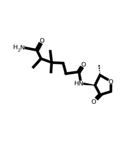 CC(C(N)=O)C(C)(C)C[CH]C(=O)N[C@@H]1C(=O)CO[C@H]1C